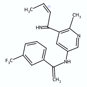 C=C(Nc1cnc(C)c(C(=N)/C=C\C)c1)c1cccc(C(F)(F)F)c1